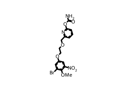 COc1c(Br)cc(OCCOCc2cccc(OC(N)=O)n2)cc1[N+](=O)[O-]